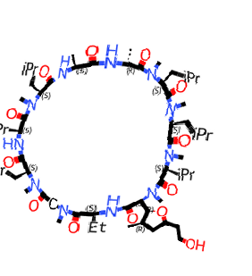 CC[C@@H]1NC(=O)[C@H]([C@@H]2OC(CCO)C[C@H]2C)N(C)C(=O)[C@H](C(C)C)N(C)C(=O)[C@H](CC(C)C)N(C)C(=O)[C@H](CC(C)C)N(C)C(=O)[C@@H](C)NC(=O)[C@H](C)NC(=O)[C@H](CC(C)C)N(C)C(=O)[C@H](C(C)C)NC(=O)[C@H](CC(C)C)N(C)C(=O)CN(C)C1=O